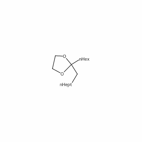 CCCCCCCCC1(CCCCCC)OCCO1